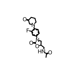 CC(=O)NCC1CN(c2ccc(N3CCCC(=O)C3)c(F)c2)C(=O)O1